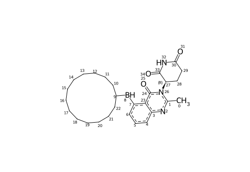 Cc1nc2cccc(BC3CCCCCCCCCCCCC3)c2c(=O)n1[C@@H]1CCC(=O)NC1=O